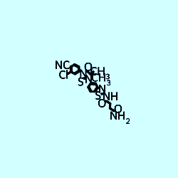 CC1(C)C(=O)N(c2ccc(C#N)c(Cl)c2)C(=S)N1c1ccc2sc(NC(=O)CCC(N)=O)nc2c1